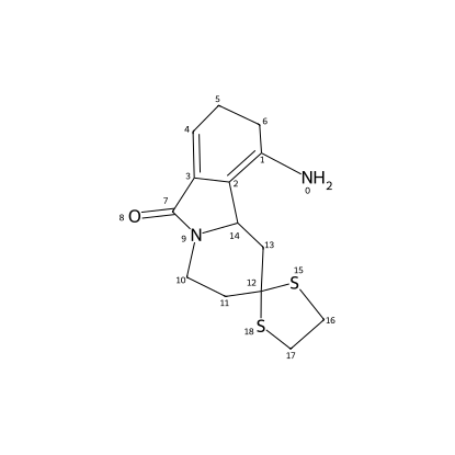 NC1=C2C(=CCC1)C(=O)N1CCC3(CC21)SCCS3